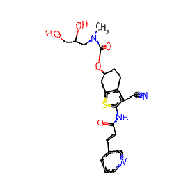 CN(CC(O)CO)C(=O)OC1CCc2c(sc(NC(=O)/C=C/c3cccnc3)c2C#N)C1